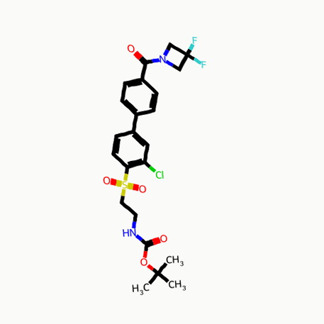 CC(C)(C)OC(=O)NCCS(=O)(=O)c1ccc(-c2ccc(C(=O)N3CC(F)(F)C3)cc2)cc1Cl